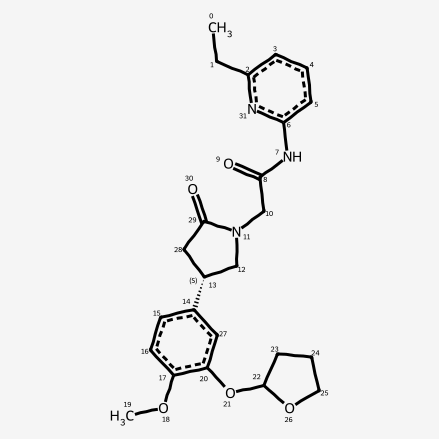 CCc1cccc(NC(=O)CN2C[C@H](c3ccc(OC)c(OC4CCCO4)c3)CC2=O)n1